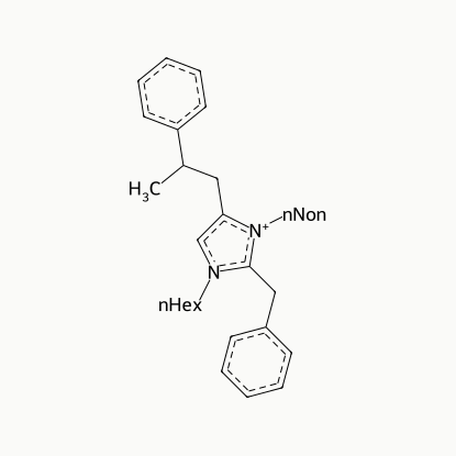 CCCCCCCCC[n+]1c(CC(C)c2ccccc2)cn(CCCCCC)c1Cc1ccccc1